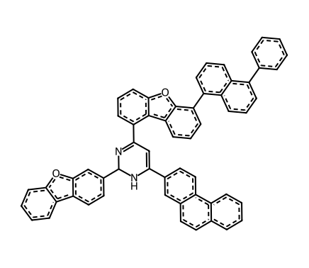 C1=C(c2ccc3c(ccc4ccccc43)c2)NC(c2ccc3c(c2)oc2ccccc23)N=C1c1cccc2oc3c(-c4cccc5c(-c6ccccc6)cccc45)cccc3c12